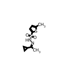 CC(=NNS(=O)(=O)c1ccc(C)s1)C1CC1